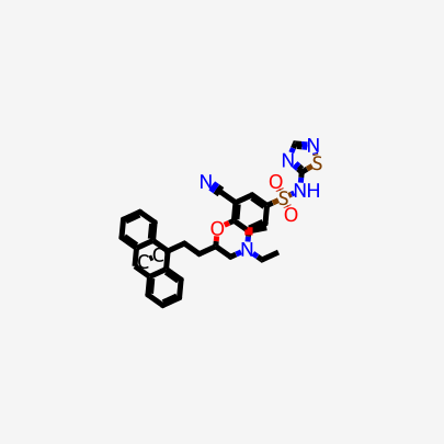 CCN(CC)CC(CCC12CCC(c3ccccc31)c1ccccc12)Oc1ccc(S(=O)(=O)Nc2ncns2)cc1C#N